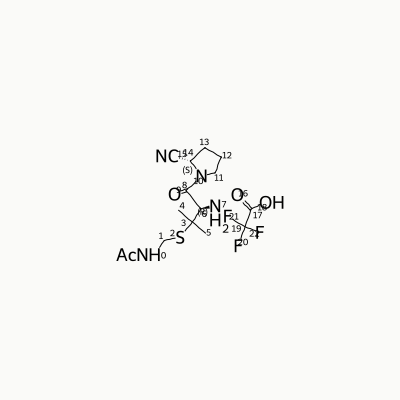 CC(=O)NCSC(C)(C)[C@H](N)C(=O)N1CCC[C@H]1C#N.O=C(O)C(F)(F)F